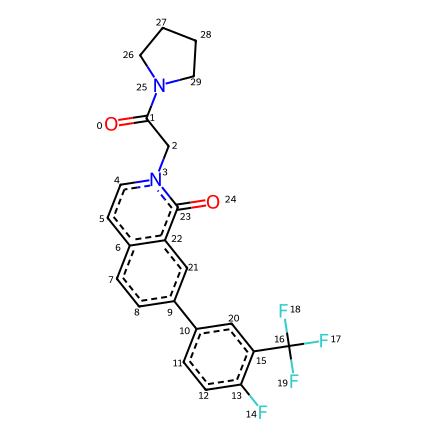 O=C(Cn1ccc2ccc(-c3ccc(F)c(C(F)(F)F)c3)cc2c1=O)N1CCCC1